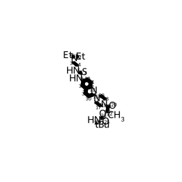 CCN(CC)CCNC(=S)Nc1ccc2nc(N3CCN(C(=O)[C@H](C)OC(=O)NC(C)(C)C)CC3)ccc2c1